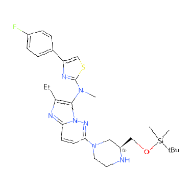 CCc1nc2ccc(N3CCN[C@H](CO[Si](C)(C)C(C)(C)C)C3)nn2c1N(C)c1nc(-c2ccc(F)cc2)cs1